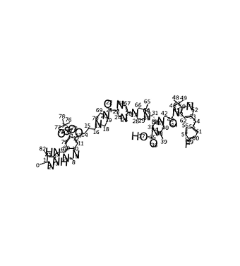 Cc1n[nH]c(Nc2ncnc3cc(OCCCN4CCN(C(=O)c5cnc(N6CCN(C[C@H]7CN(C(=O)O)[C@H](C)CN7CC(=O)N7CC(C)(C)c8ncc(Cc9ccc(F)cc9)cc87)[C@H](C)C6)cn5)CC4)c(S(=O)(=O)C(C)(C)C)cc23)c1C